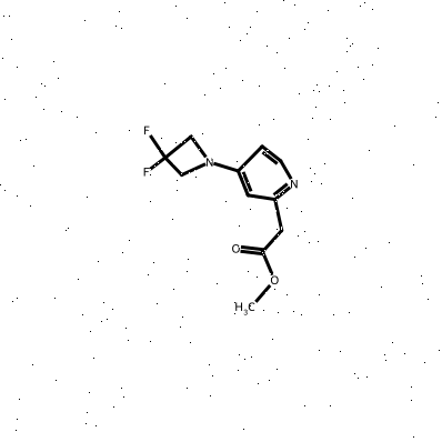 COC(=O)Cc1cc(N2CC(F)(F)C2)ccn1